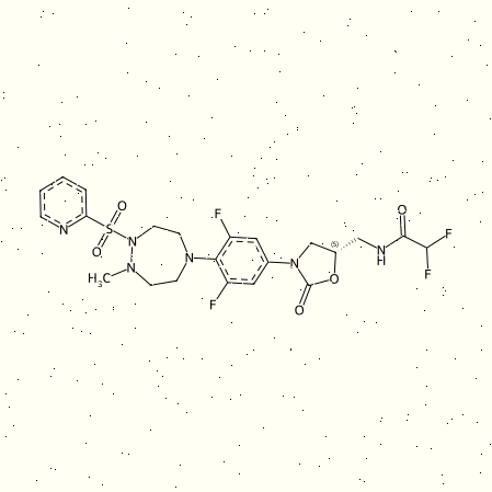 CN1CCN(c2c(F)cc(N3C[C@H](CNC(=O)C(F)F)OC3=O)cc2F)CCN1S(=O)(=O)c1ccccn1